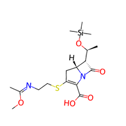 COC(C)=NCCSC1=C(C(=O)O)N2C(=O)[C@@H]([C@H](C)O[Si](C)(C)C)[C@H]2C1